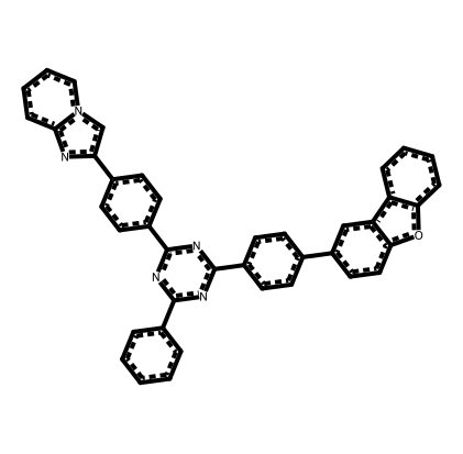 c1ccc(-c2nc(-c3ccc(-c4ccc5oc6ccccc6c5c4)cc3)nc(-c3ccc(-c4cn5ccccc5n4)cc3)n2)cc1